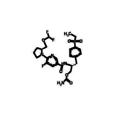 CCS(=O)(=O)c1ccc(C[C@H](COC(N)=O)NC(=O)c2cnc(N3CCC[C@H]3COC(F)F)c(F)c2)cc1